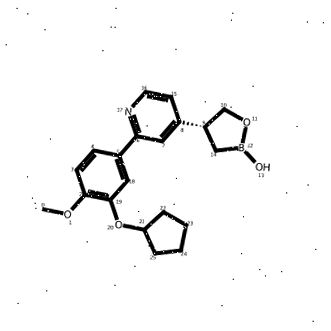 COc1ccc(-c2cc([C@@H]3COB(O)C3)ccn2)cc1OC1CCCC1